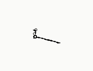 CC#CC#CC#CC#CC#CC#CC#Cc1cccc(OCC2CO2)c1